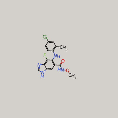 CONC(=O)c1cc2[nH]cnc2c(F)c1Nc1ccc(Cl)cc1C